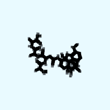 COc1ccc2c3c1O[C@H]1C(OC(=O)CC(OC(=O)C(C)O)C(=O)OC(C)C(=O)OC(C)C(=O)O)=CC[C@@]4(O)[C@@H](C2)N(C)CC[C@]314